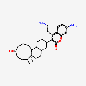 CC1CCC(=O)CCCC2[C@H]1CCC1CC(c3c(CCN)c4ccc(N)cc4oc3=O)CC[C@@]12C